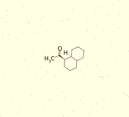 CC(=O)[C@@H]1CCCC2CCCC[C@@H]21